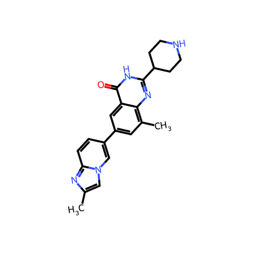 Cc1cn2cc(-c3cc(C)c4nc(C5CCNCC5)[nH]c(=O)c4c3)ccc2n1